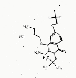 CCCCOc1c(CN)n(CC(C)(C)C)c(=O)c2ccc(OCC(F)(F)F)cc12.Cl